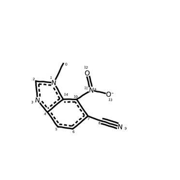 Cn1cnc2ccc(C#N)c([N+](=O)[O-])c21